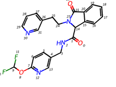 O=C(NCc1ccc(OC(F)F)nc1)C1c2ccccc2C(=O)N1CCc1cccnc1